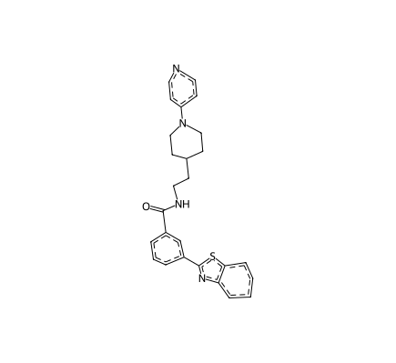 O=C(NCCC1CCN(c2ccncc2)CC1)c1cccc(-c2nc3ccccc3s2)c1